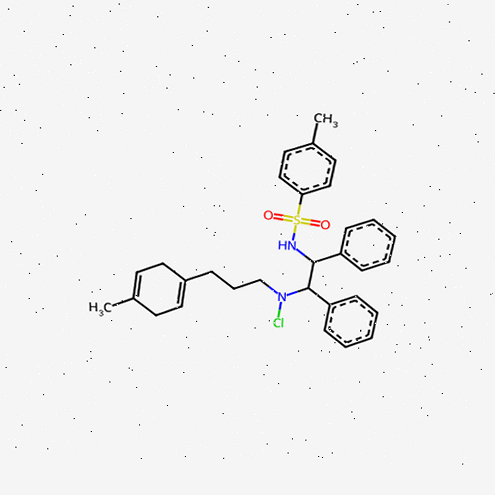 CC1=CCC(CCCN(Cl)C(c2ccccc2)C(NS(=O)(=O)c2ccc(C)cc2)c2ccccc2)=CC1